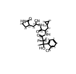 CC(O)(c1ccccc1Cl)C(F)(F)C(=O)NC(CC1CC1)C(=O)NC(C#N)CC1CCNC1=O